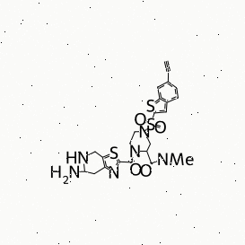 C#Cc1ccc2cc(S(=O)(=O)N3CCN(C(=O)c4nc5c(s4)CNC(N)C5)C(C(=O)NC)C3)sc2c1